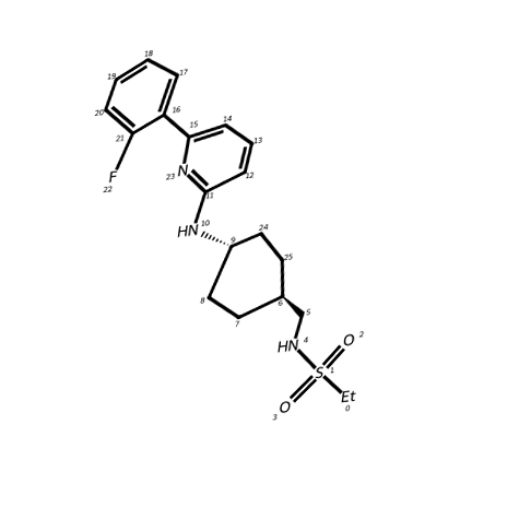 CCS(=O)(=O)NC[C@H]1CC[C@H](Nc2cccc(-c3ccccc3F)n2)CC1